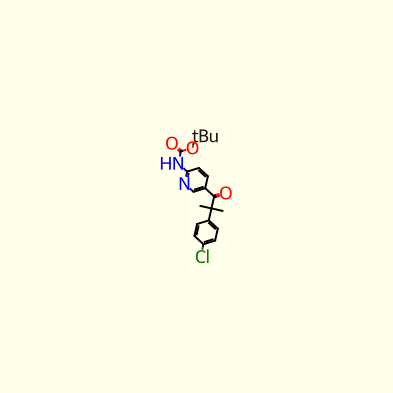 CC(C)(C)OC(=O)Nc1ccc(C(=O)C(C)(C)c2ccc(Cl)cc2)cn1